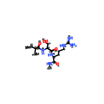 CCNC(=O)C(CCCNC(=N)N)NC(=O)C(CO)NC(=O)C(NC)C(C)CC